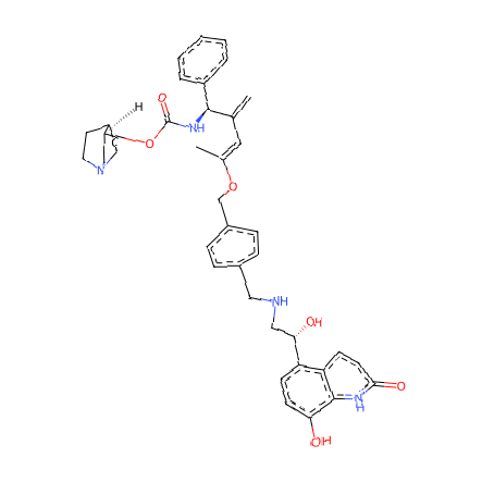 C=C(/C=C(\C)OCc1ccc(CNC[C@H](O)c2ccc(O)c3[nH]c(=O)ccc23)cc1)[C@@H](NC(=O)O[C@H]1CN2CCC1CC2)c1ccccc1